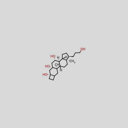 C[C@]12CC[C@H]3[C@@H]([C@@H](O)C[C@]4(O)C[C@]5(O)CCC5C[C@]34C)[C@@H]1CC[C@H]2CCCO